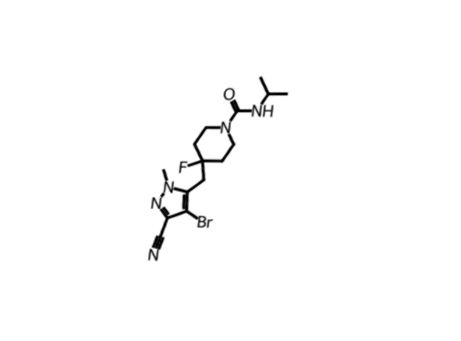 CC(C)NC(=O)N1CCC(F)(Cc2c(Br)c(C#N)nn2C)CC1